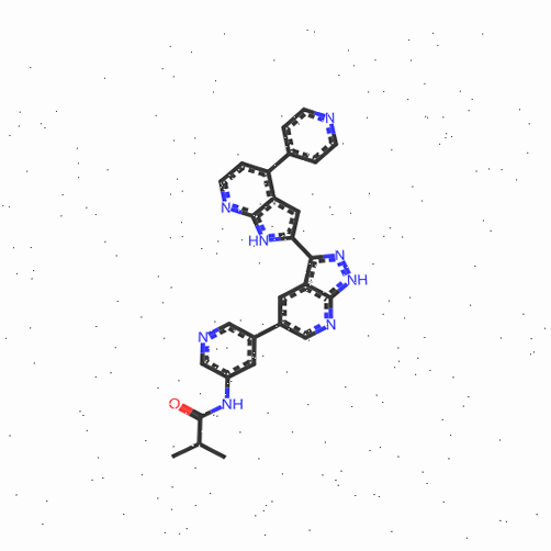 CC(C)C(=O)Nc1cncc(-c2cnc3[nH]nc(-c4cc5c(-c6ccncc6)ccnc5[nH]4)c3c2)c1